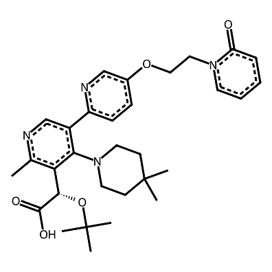 Cc1ncc(-c2ccc(OCCn3ccccc3=O)cn2)c(N2CCC(C)(C)CC2)c1[C@H](OC(C)(C)C)C(=O)O